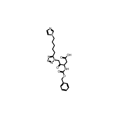 O=C(O)CC(NC(=O)OCc1ccccc1)C(=O)Cn1nnnc1CCCCCn1ccnc1